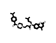 CC(C)=CCN(C(=O)CCN1CCN(C(=O)c2ccc(C(C)C)cc2)CC1)c1ccc2c(C)cc(=O)oc2c1